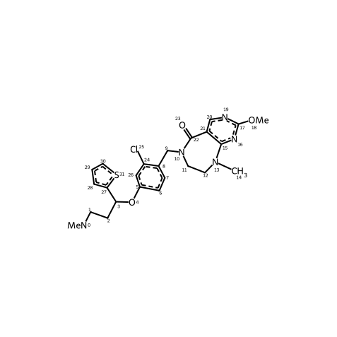 CNCCC(Oc1ccc(CN2CCN(C)c3nc(OC)ncc3C2=O)c(Cl)c1)c1cccs1